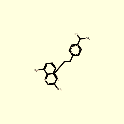 CC1=CC=CC23NC(CCc4ccc(C(C)O)cc4)=CC=C2C(N)=CN=C13